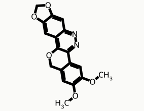 COc1cc2c(cc1OC)-c1nnc3cc4c(cc3c1OC2)OCO4